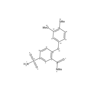 CNC(=O)c1cc(S(N)(=O)=O)ccc1Oc1ccc(SC)c(OC)c1